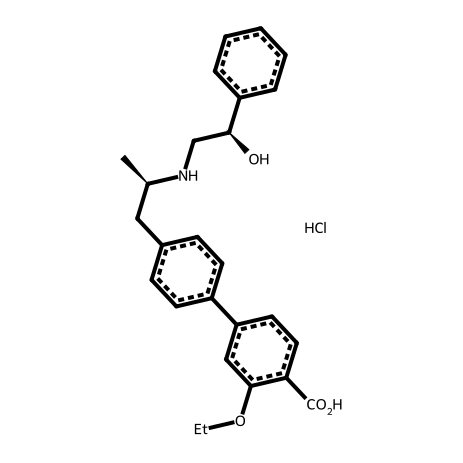 CCOc1cc(-c2ccc(C[C@@H](C)NC[C@H](O)c3ccccc3)cc2)ccc1C(=O)O.Cl